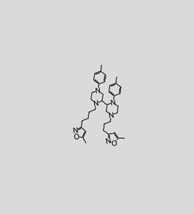 Cc1ccc(N2CCN(CCCCc3cc(C)on3)C(C3CN(CCCc4cc(C)on4)CCN3c3ccc(C)cc3)C2)cc1